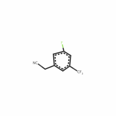 N#CCc1cc(F)cc(C(F)(F)F)c1